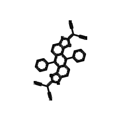 N#CC(C#N)=c1nc2ccc3c(-c4ccccc4)c4c(ccc5nc(=C(C#N)C#N)oc54)c(-c4ccccc4)c3c2o1